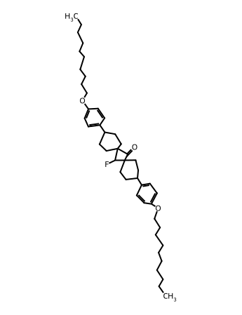 CCCCCCCCCCOc1ccc(C2CCC3(CC2)C(=O)C2(CCC(c4ccc(OCCCCCCCCCC)cc4)CC2)C3F)cc1